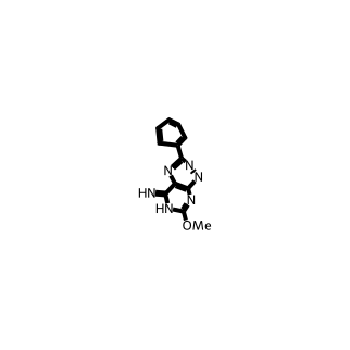 COc1nc2nnc(-c3ccccc3)nc2c(=N)[nH]1